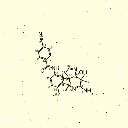 CC1(C)C(N)=N[C@](C)(c2nc(NC(=O)c3ccc(C#N)cc3)ccc2F)[C@@H]2CC=N[S@@]21O